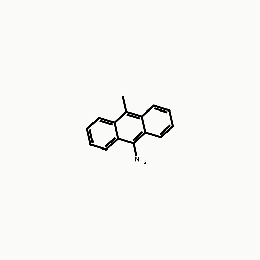 Cc1c2ccccc2c(N)c2ccccc12